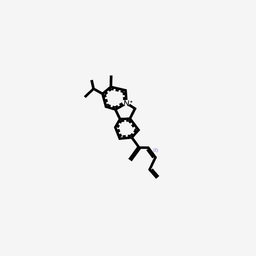 C=C/C=C\C(=C)c1ccc2c(c1)C[n+]1cc(C)c(C(C)C)cc1-2